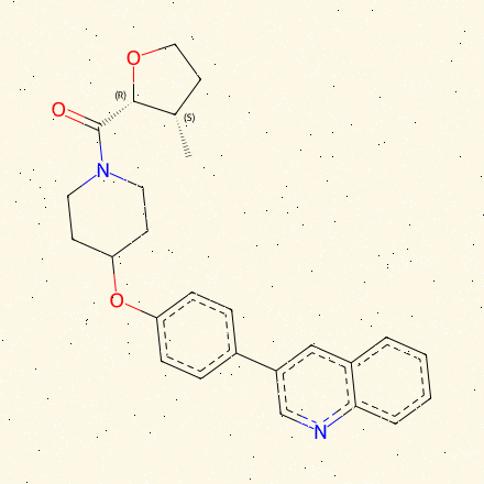 C[C@H]1CCO[C@H]1C(=O)N1CCC(Oc2ccc(-c3cnc4ccccc4c3)cc2)CC1